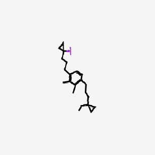 CCC1(CCCc2ccc(CCCC3(I)CC3)c(C)c2C)CC1